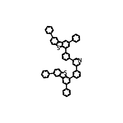 c1ccc(-c2ccc3sc4c(-c5cccc(-c6cncc(-c7cccc(-c8cc(-c9ccccc9)cc9c8sc8ccc(-c%10ccccc%10)cc89)c7)c6)c5)cc(-c5ccccc5)cc4c3c2)cc1